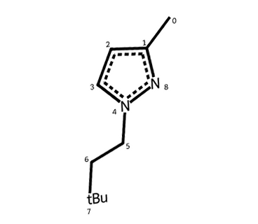 Cc1ccn(CCC(C)(C)C)n1